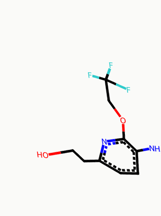 Nc1ccc(CCO)nc1OCC(F)(F)F